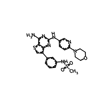 CS(=O)(=O)Nc1cccc(-c2csc3c(N)nc(Nc4ccc(N5CCOCC5)nc4)nc23)c1